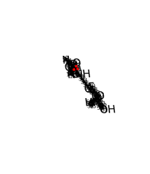 CN(C)c1ccc2c(c1)Oc1cc(N(C)C)ccc1C21OC(=O)c2ccc(C(=O)NCCCCCCCCOc3ccc(Cc4nc5c(Cc6ccccc6)[nH]c(-c6ccc(O)cc6)cn-5c4=O)cc3F)cc21